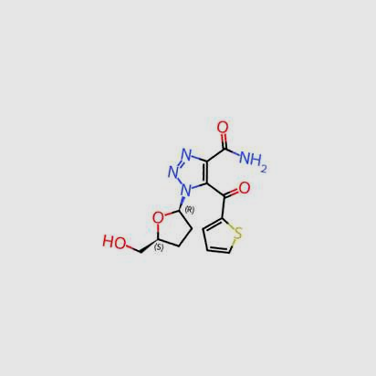 NC(=O)c1nnn([C@H]2CC[C@@H](CO)O2)c1C(=O)c1cccs1